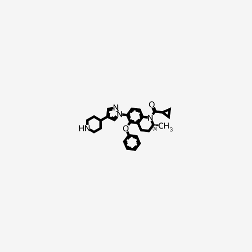 C[C@H]1CCc2c(ccc(-n3cc(C4CCNCC4)cn3)c2Oc2ccccc2)N1C(=O)C1CC1